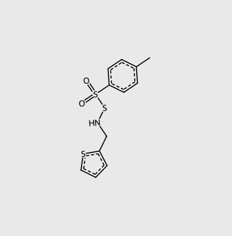 Cc1ccc(S(=O)(=O)SNCc2cccs2)cc1